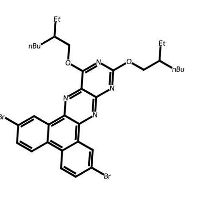 CCCCC(CC)COc1nc(OCC(CC)CCCC)c2nc3c4cc(Br)ccc4c4ccc(Br)cc4c3nc2n1